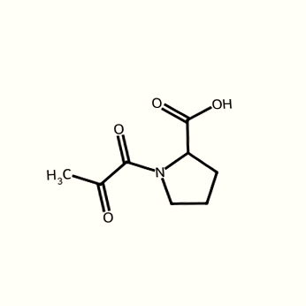 CC(=O)C(=O)N1CCCC1C(=O)O